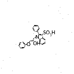 O=S(=O)(O)c1c(-c2ccccc2)n(CC(O)COc2ccccc2)c2ccccc12